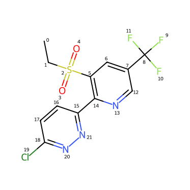 CCS(=O)(=O)c1cc(C(F)(F)F)cnc1-c1ccc(Cl)nn1